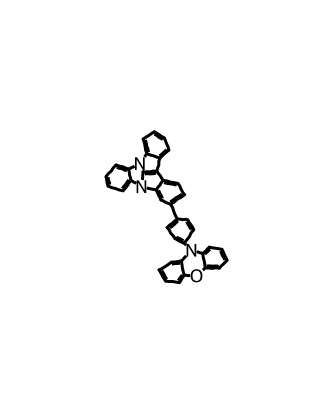 c1ccc2c(c1)Oc1ccccc1N2c1ccc(-c2ccc3c4c5ccccc5n5c6ccccc6n(c3c2)c45)cc1